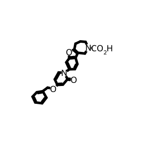 O=C(O)N1CCCc2oc3cc(-n4ccc(OCc5ccccc5)cc4=O)ccc3c2C1